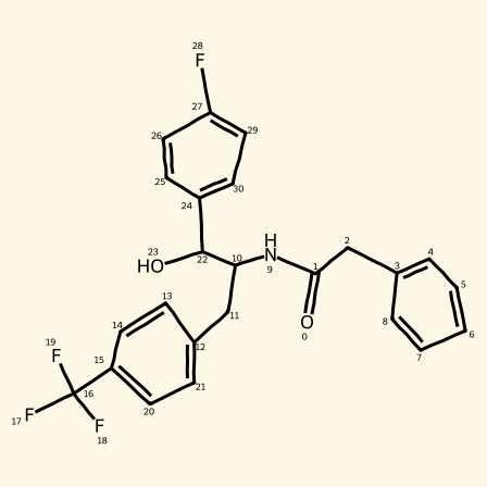 O=C(Cc1ccccc1)NC(Cc1ccc(C(F)(F)F)cc1)C(O)c1ccc(F)cc1